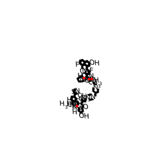 C#Cc1c(F)ccc2cc(O)cc(-c3ncc4c(N5CC6CCC(C5)N6C(=O)OC(C)(C)C)nc(OCCN5CCC(CN6CCN(c7cc([C@H](C(=O)N8C[C@H](O)C[C@H]8C(=O)N[C@@H](C)c8ccc(-c9scnc9C)cc8)C(C)C)on7)CC6)CC5)nc4c3F)c12